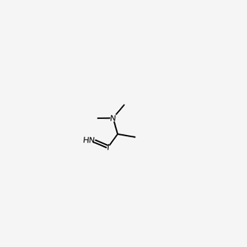 CC(I=N)N(C)C